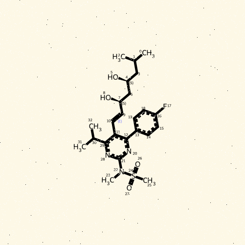 CC(C)C[C@H](O)C[C@H](O)/C=C/c1c(-c2ccc(F)cc2)nc(N(C)S(C)(=O)=O)nc1C(C)C